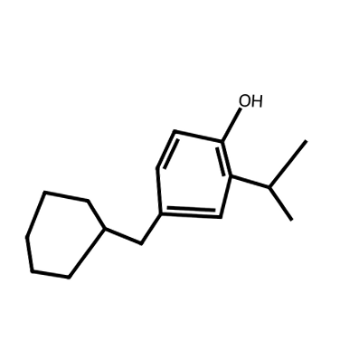 CC(C)c1cc(CC2CCCCC2)ccc1O